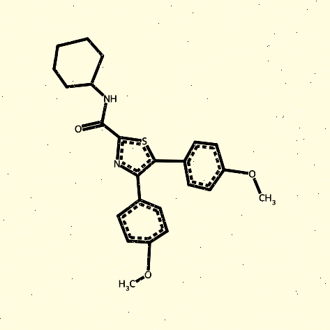 COc1ccc(-c2nc(C(=O)NC3CCCCC3)sc2-c2ccc(OC)cc2)cc1